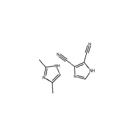 Cc1c[nH]c(C)n1.N#Cc1nc[nH]c1C#N